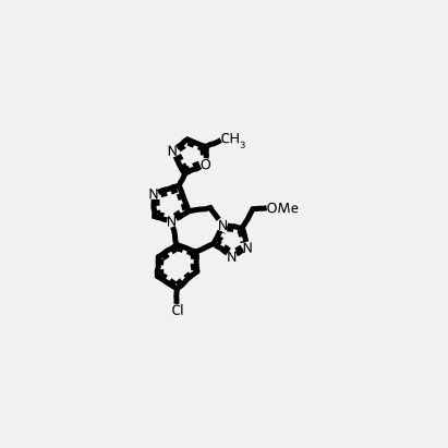 COCc1nnc2n1Cc1c(-c3ncc(C)o3)ncn1-c1ccc(Cl)cc1-2